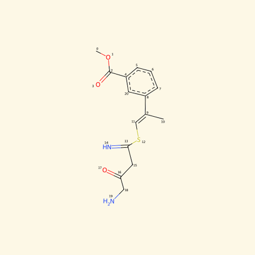 COC(=O)c1cccc(/C(C)=C/SC(=N)CC(=O)CN)c1